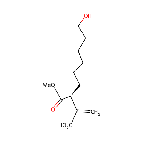 C=C(C(=O)O)[C@H](CCCCCCO)C(=O)OC